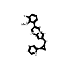 COc1c(F)cccc1-c1cnc2cc(CC3CC3c3ccccn3)cn2c1